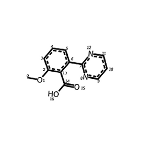 COc1cccc(-c2ncccn2)c1C(=O)O